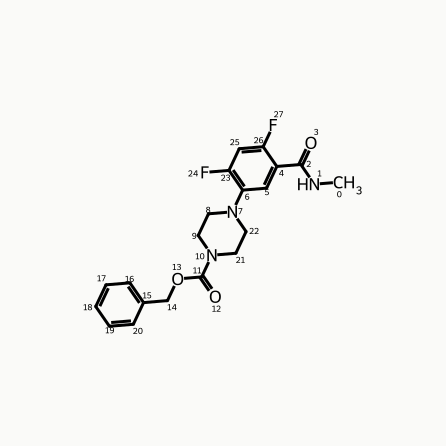 CNC(=O)c1cc(N2CCN(C(=O)OCc3ccccc3)CC2)c(F)cc1F